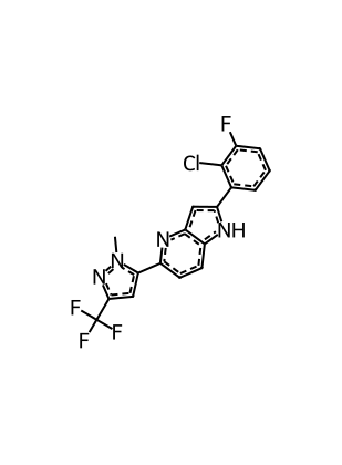 Cn1nc(C(F)(F)F)cc1-c1ccc2[nH]c(-c3cccc(F)c3Cl)cc2n1